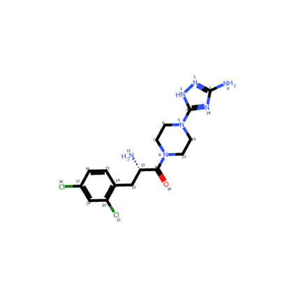 Nc1n[nH]c(N2CCN(C(=O)[C@@H](N)Cc3ccc(Cl)cc3Cl)CC2)n1